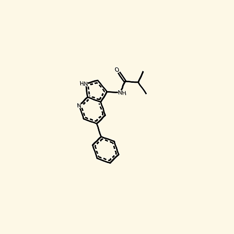 CC(C)C(=O)Nc1c[nH]c2ncc(-c3ccccc3)cc12